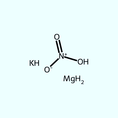 O=[N+]([O-])O.[KH].[MgH2]